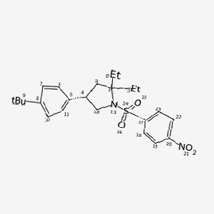 CCC1(CC)CC(c2ccc(C(C)(C)C)cc2)CN1S(=O)(=O)c1ccc([N+](=O)[O-])cc1